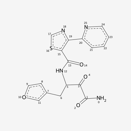 NC(=O)C(=O)C(Cc1ccoc1)NC(=O)c1scnc1-c1ccccn1